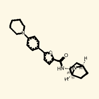 O=C(N[C@@H]1C[C@H]2CC[C@@H]1N2)c1ccc(-c2ccc(N3CCCCC3)cc2)o1